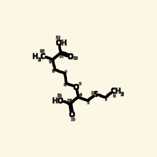 CCSCC(OCCCC(C)C(=O)O)C(=O)O